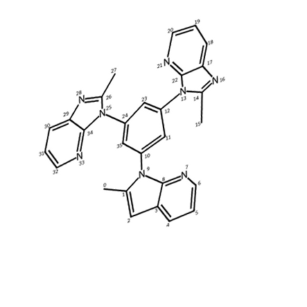 Cc1cc2cccnc2n1-c1cc(-n2c(C)nc3cccnc32)cc(-n2c(C)nc3cccnc32)c1